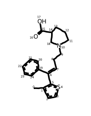 Cc1ccsc1/C(=C/CCN1CCCC(C(=O)O)C1)c1ccccc1